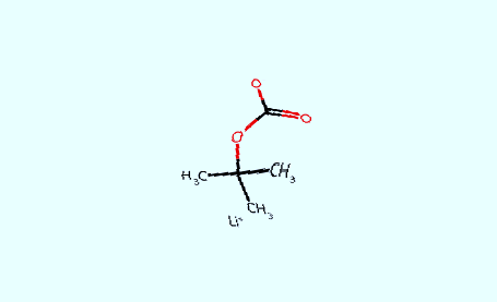 CC(C)(C)OC(=O)[O-].[Li+]